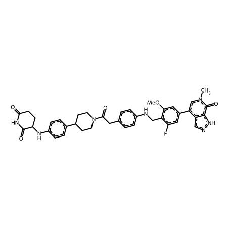 COc1cc(-c2cn(C)c(=O)c3[nH]ncc23)cc(F)c1CNc1ccc(CC(=O)N2CCC(c3ccc(NC4CCC(=O)NC4=O)cc3)CC2)cc1